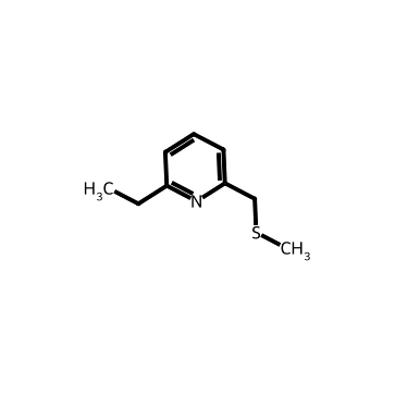 CCc1cccc(CSC)n1